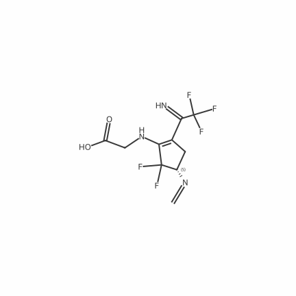 C=N[C@H]1CC(C(=N)C(F)(F)F)=C(NCC(=O)O)C1(F)F